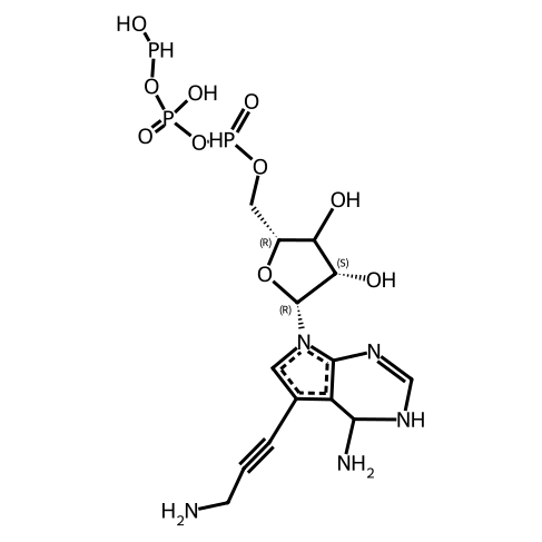 NCC#Cc1cn([C@@H]2O[C@H](CO[PH](=O)OP(=O)(O)OPO)C(O)[C@@H]2O)c2c1C(N)NC=N2